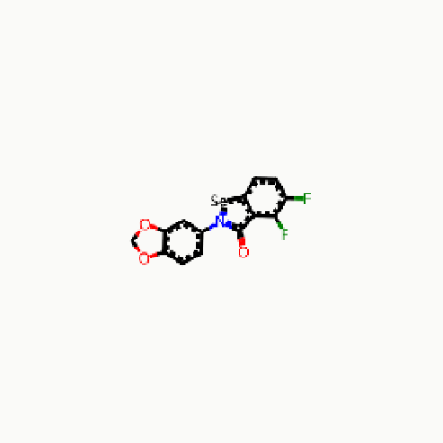 O=c1c2c(F)c(F)ccc2[se]n1-c1ccc2c(c1)OCO2